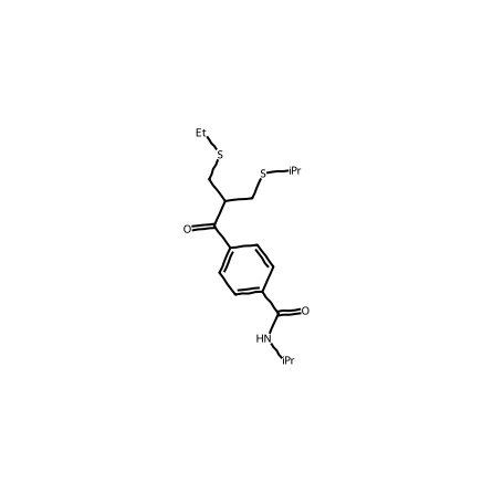 CCSCC(CSC(C)C)C(=O)c1ccc(C(=O)NC(C)C)cc1